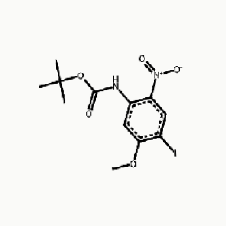 COc1cc(NC(=O)OC(C)(C)C)c([N+](=O)[O-])cc1I